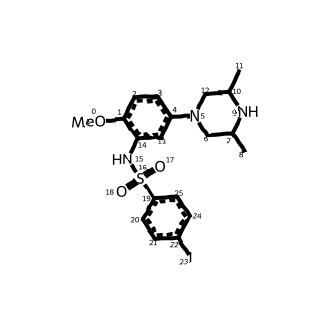 COc1ccc(N2CC(C)NC(C)C2)cc1NS(=O)(=O)c1ccc(I)cc1